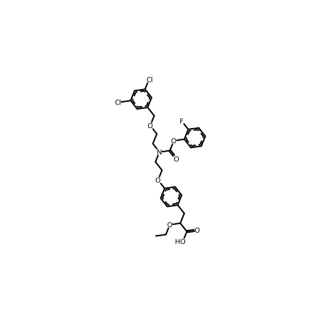 CCOC(Cc1ccc(OCCN(CCOCc2cc(Cl)cc(Cl)c2)C(=O)Oc2ccccc2F)cc1)C(=O)O